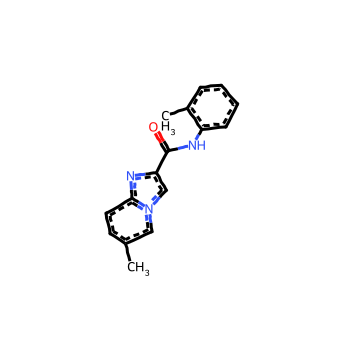 Cc1ccc2nc(C(=O)Nc3ccccc3C)cn2c1